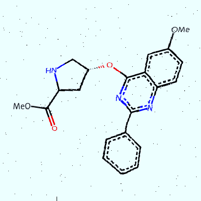 COC(=O)C1C[C@@H](Oc2nc(-c3ccccc3)nc3ccc(OC)cc23)CN1